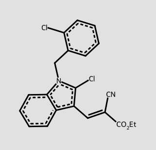 CCOC(=O)C(C#N)=Cc1c(Cl)n(Cc2ccccc2Cl)c2ccccc12